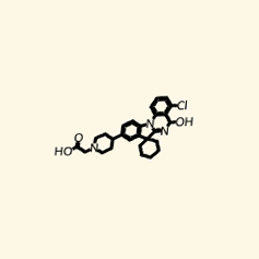 O=C(O)CN1CCC(c2ccc3c(c2)C2(CCCCC2)C2=NC(O)c4c(Cl)cccc4N23)CC1